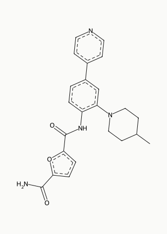 CC1CCN(c2cc(-c3ccncc3)ccc2NC(=O)c2ccc(C(N)=O)o2)CC1